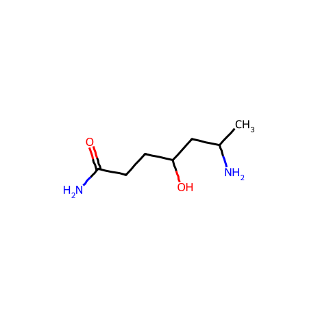 CC(N)CC(O)CCC(N)=O